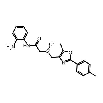 Cc1ccc(-c2nc(C[S+]([O-])CC(=O)Nc3ccccc3N)c(C)o2)cc1